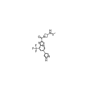 CSNC1CN(C(=O)c2cn3cc(-c4cn[nH]c4)cc(C(F)(F)F)c3n2)C1